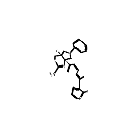 C=C(/C=C\C=C(/C)c1cccnc1F)[C@]12CN(c3ccccc3)C[C@H]1CSC(N)=N2